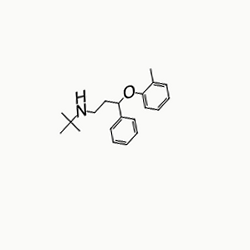 Cc1ccccc1OC(CCNC(C)(C)C)c1ccccc1